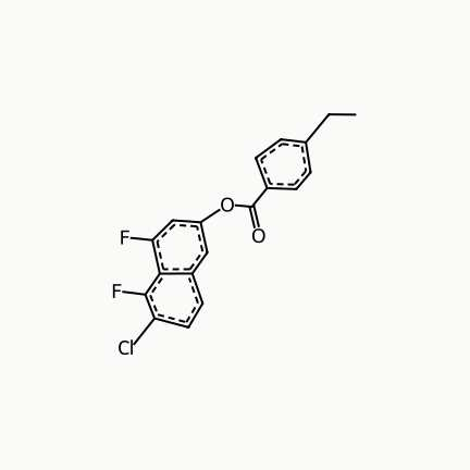 CCc1ccc(C(=O)Oc2cc(F)c3c(F)c(Cl)ccc3c2)cc1